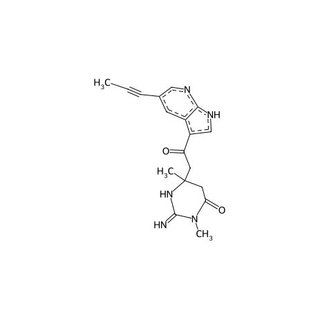 CC#Cc1cnc2[nH]cc(C(=O)CC3(C)CC(=O)N(C)C(=N)N3)c2c1